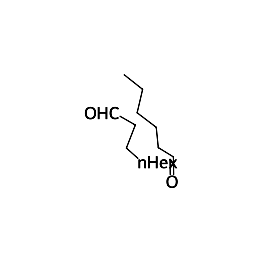 CCCCCC=O.CCCCCCCCC=O